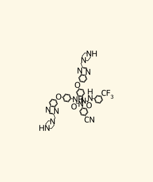 N#Cc1ccc(N(C(=O)Nc2ccc(Oc3ccc4ncc(CN5CCNCC5)nc4c3)cc2)N(C(=O)Nc2cccc(C(F)(F)F)c2)c2ccc(Oc3ccc4ncc(CN5CCNCC5)nc4c3)cc2)cc1